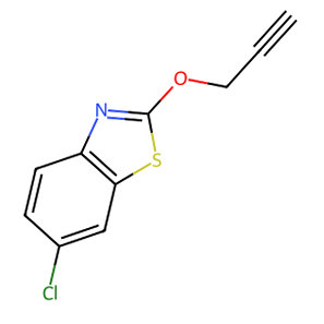 C#CCOc1nc2ccc(Cl)cc2s1